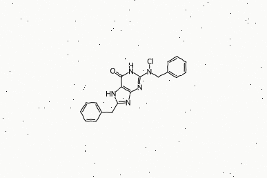 O=c1[nH]c(N(Cl)Cc2ccccc2)nc2nc(Cc3ccccc3)[nH]c12